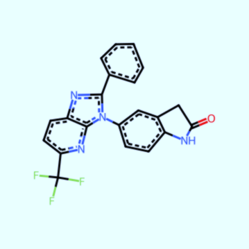 O=C1Cc2cc(-n3c(-c4ccccc4)nc4ccc(C(F)(F)F)nc43)ccc2N1